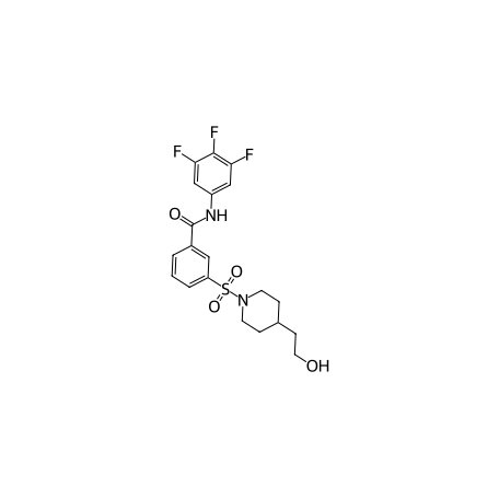 O=C(Nc1cc(F)c(F)c(F)c1)c1cccc(S(=O)(=O)N2CCC(CCO)CC2)c1